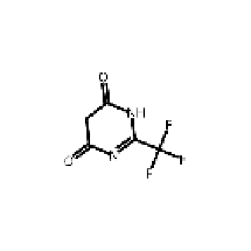 O=C1CC(=O)NC(C(F)(F)F)=N1